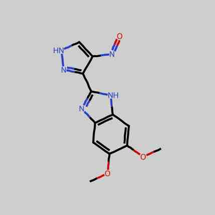 COc1cc2nc(-c3n[nH]cc3N=O)[nH]c2cc1OC